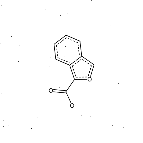 [O]C(=O)c1occ2ccccc12